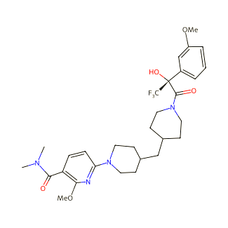 COc1cccc([C@@](O)(C(=O)N2CCC(CC3CCN(c4ccc(C(=O)N(C)C)c(OC)n4)CC3)CC2)C(F)(F)F)c1